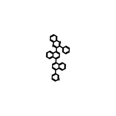 c1ccc(-c2nc3ccccc3nc2-c2ccc(-c3ccc(-c4cccnc4)c4ccccc34)c3ccccc23)cc1